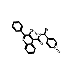 CCC(NC(=O)c1c(C)c(-c2ccccc2)nc2ccccc12)c1cc[n+]([O-])cc1